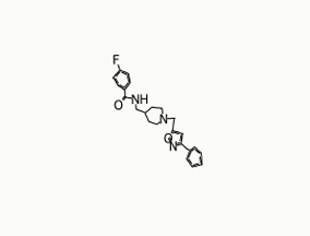 O=C(NCC1CCN(Cc2cc(-c3ccccc3)no2)CC1)c1ccc(F)cc1